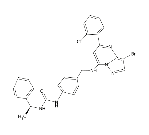 C[C@H](NC(=O)Nc1ccc(CNc2cc(-c3ccccc3Cl)nc3c(Br)cnn23)cc1)c1ccccc1